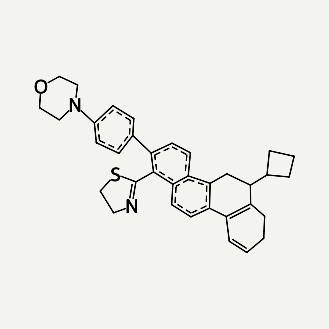 C1=CC2=C(CC1)C(C1CCC1)Cc1c2ccc2c(C3=NCCS3)c(-c3ccc(N4CCOCC4)cc3)ccc12